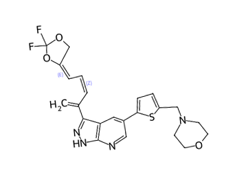 C=C(/C=C\C=C1/COC(F)(F)O1)c1n[nH]c2ncc(-c3ccc(CN4CCOCC4)s3)cc12